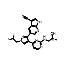 C[C@H](O)CNc1nccc(-c2cn(CC(F)F)nc2-c2cnc3[nH]cc(C#N)c3c2)n1